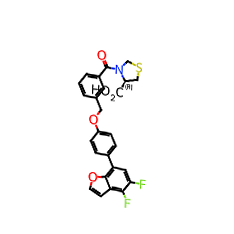 O=C(O)[C@@H]1CSCN1C(=O)c1cccc(COc2ccc(-c3cc(F)c(F)c4ccoc34)cc2)c1